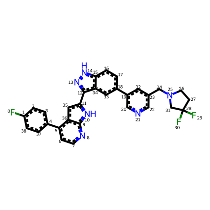 Fc1ccc(-c2ccnc3[nH]c(-c4n[nH]c5ccc(-c6cncc(CN7CCC(F)(F)C7)c6)cc45)cc23)cc1